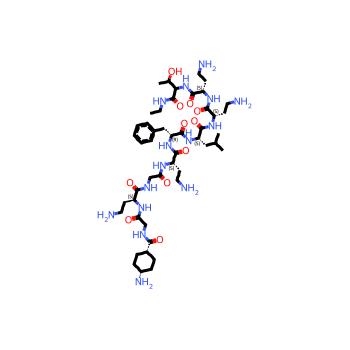 CCNC(=O)C(NC(=O)[C@H](CCN)NC(=O)[C@H](CCN)NC(=O)[C@H](CC(C)C)NC(=O)[C@@H](Cc1ccccc1)NC(=O)[C@H](CCN)NC(=O)CNC(=O)[C@H](CCN)NC(=O)CNC(=O)[C@H]1CC[C@@H](N)CC1)C(C)O